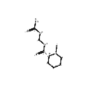 CCN1CCCC[C@@H]1C(=O)OCOC(=O)C(C)(C)C